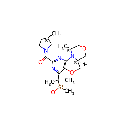 C[C@@H]1CCN(C(=O)c2nc3c(c(C(C)(C)[S+](C)[O-])n2)OC[C@@H]2COC[C@@H](C)N32)C1